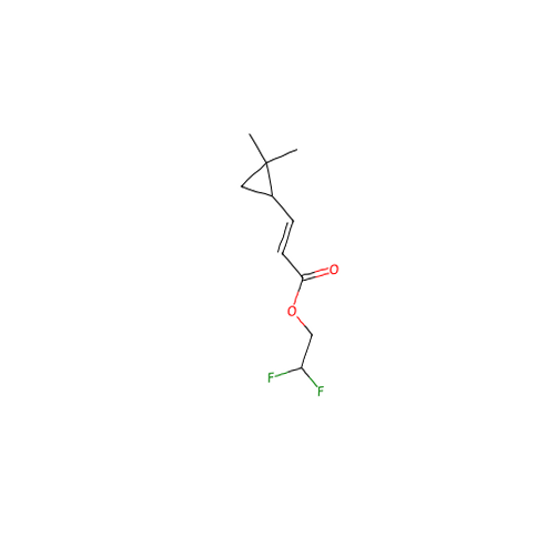 CC1(C)CC1C=CC(=O)OCC(F)F